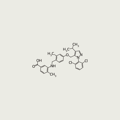 Cc1cc(OCc2c(C(C)C)cnn2-c2c(Cl)cccc2Cl)ccc1CNc1cc(C(=O)O)ccc1C